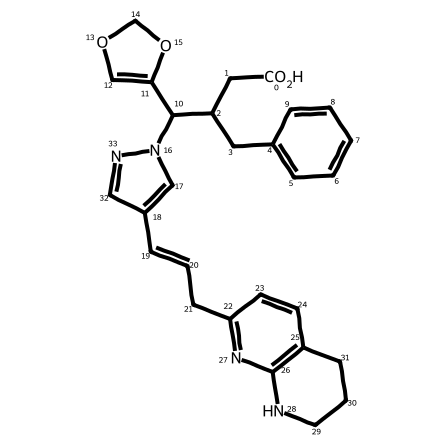 O=C(O)CC(Cc1ccccc1)C(C1=COCO1)n1cc(C=CCc2ccc3c(n2)NCCC3)cn1